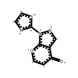 O=c1ccoc2c1cnn2-c1nccs1